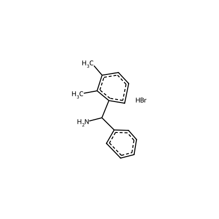 Br.Cc1cccc(C(N)c2ccccc2)c1C